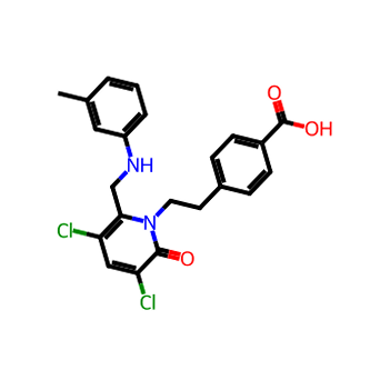 Cc1cccc(NCc2c(Cl)cc(Cl)c(=O)n2CCc2ccc(C(=O)O)cc2)c1